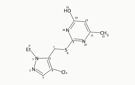 CCn1ncc(Cl)c1CSc1nc(C)cc(O)n1